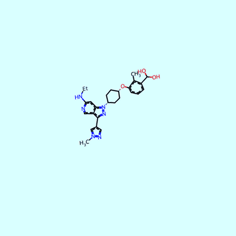 CCNc1cc2c(cn1)c(-c1cnn(C)c1)nn2[C@H]1CC[C@@H](Oc2cccc(C(O)O)c2C)CC1